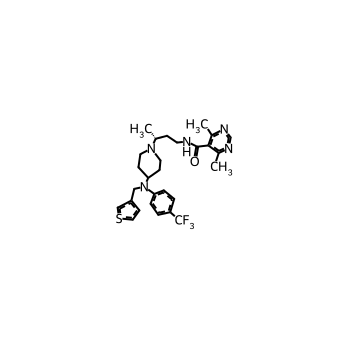 Cc1ncnc(C)c1C(=O)NCC[C@@H](C)N1CCC(N(Cc2ccsc2)c2ccc(C(F)(F)F)cc2)CC1